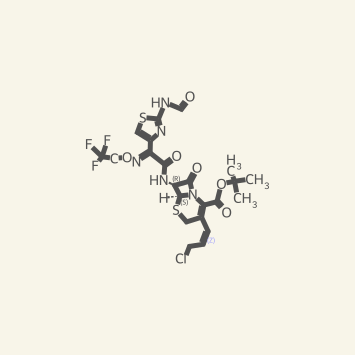 CC(C)(C)OC(=O)C1=C(/C=C\CCl)CS[C@H]2[C@H](NC(=O)C(=NOCC(F)(F)F)c3csc(NC=O)n3)C(=O)N12